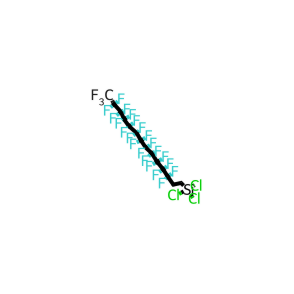 FC(F)(F)C(F)(F)C(F)(F)C(F)(F)C(F)(F)C(F)(F)C(F)(F)C(F)(F)C(F)(F)C(F)(F)C(F)(F)C(F)(F)CC[Si](Cl)(Cl)Cl